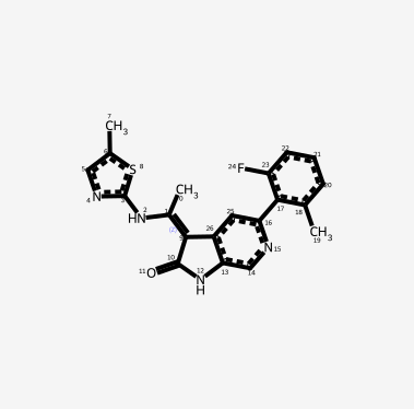 C/C(Nc1ncc(C)s1)=C1/C(=O)Nc2cnc(-c3c(C)cccc3F)cc21